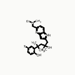 CCN(C)Cc1ccc2[nH]c(CC(O)(CC(C)(C)c3cc(F)ccc3O)C(F)(F)F)cc2n1